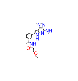 CCOCCC(=O)NC(C)c1cccc(-c2cc3c(nc(NC)c4ncn(C)c43)[nH]2)c1